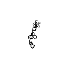 O=c1cc(Cn2cc3ccccc3c2)occ1OCc1ccc(S(=O)(=O)C(F)F)cc1